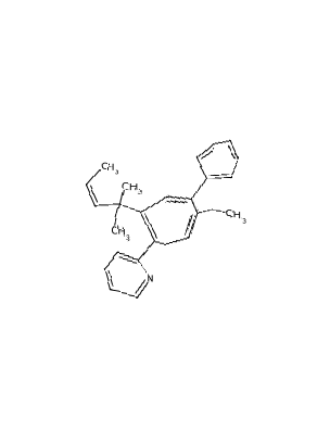 C/C=C\C(C)(C)c1cc(-c2ccccc2)c(C)cc1-c1ccccn1